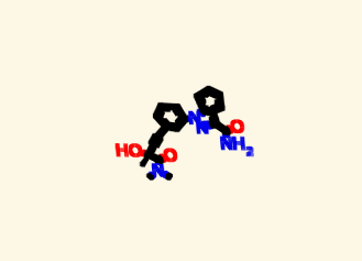 CN(C)C(=O)[C@](C)(O)C#Cc1cccc(-n2nc(C(N)=O)c3ccccc32)c1